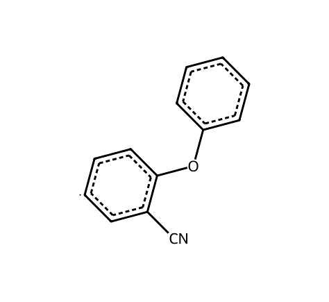 N#Cc1c[c]ccc1Oc1ccccc1